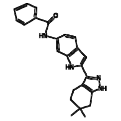 CC1(C)CCc2c(-c3cc4ccc(NC(=O)c5ccccc5)cc4[nH]3)n[nH]c2C1